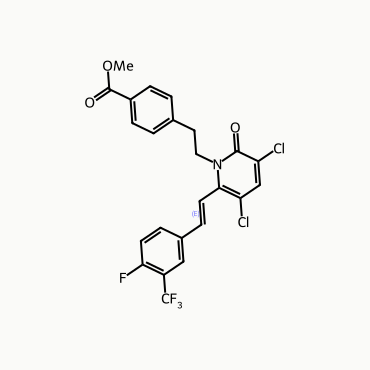 COC(=O)c1ccc(CCn2c(/C=C/c3ccc(F)c(C(F)(F)F)c3)c(Cl)cc(Cl)c2=O)cc1